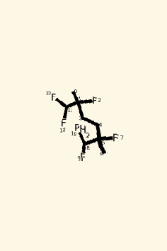 CC(F)(CCC(C)(F)C(F)P)C(F)F